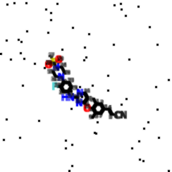 Cc1cc(/C=C/C#N)cc(C)c1Oc1ccnc(Nc2ccc(N3CCN(S(C)(=O)=O)CC3)c(F)c2)n1